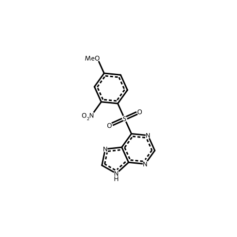 COc1ccc(S(=O)(=O)c2ncnc3[nH]cnc23)c([N+](=O)[O-])c1